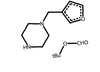 CC(C)(C)OC=O.c1cc(CN2CCNCC2)co1